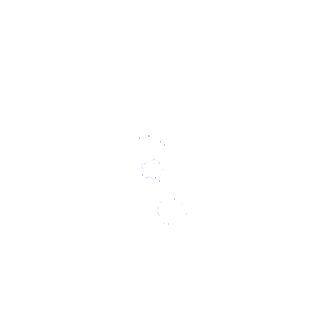 CCN(C(=O)C1CSC1)c1cn(-c2cccnc2)nc1Cl